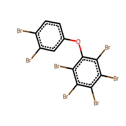 Brc1ccc(Oc2c(Br)c(Br)c(Br)c(Br)c2Br)cc1Br